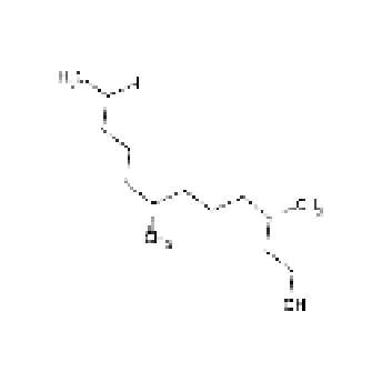 CC(I)CCC[C@@H](C)CCC[C@H](C)CCO